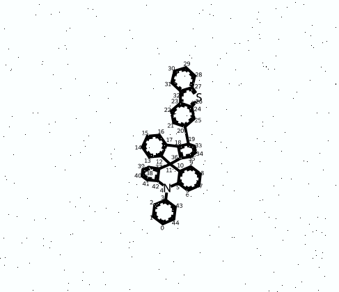 c1ccc(N2c3ccccc3C3(c4ccccc4-c4c(-c5ccc6c(c5)sc5ccccc56)cccc43)c3ccccc32)cc1